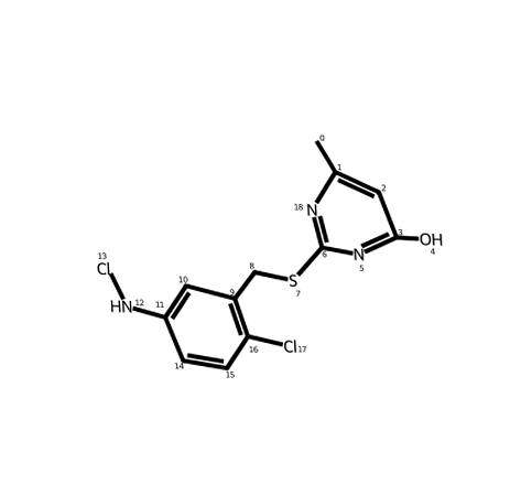 Cc1cc(O)nc(SCc2cc(NCl)ccc2Cl)n1